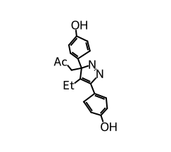 CCC1=C(c2ccc(O)cc2)N=NC1(CC(C)=O)c1ccc(O)cc1